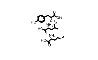 CC(C)C[C@H](N)C(=O)O.CSCC[C@H](N)C(=O)O.N[C@@H](Cc1ccc(O)cc1)C(=O)O